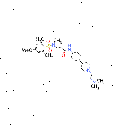 COc1cc(C)c(S(=O)(=O)N(C)CCC(=O)NC2CCC(C3CCN(CCN(C)C)CC3)CC2)c(C)c1